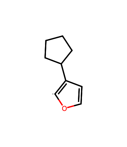 [c]1occc1C1CCCC1